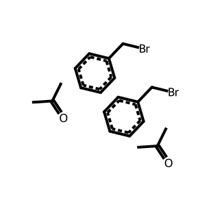 BrCc1ccccc1.BrCc1ccccc1.CC(C)=O.CC(C)=O